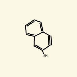 Sc1c#cc2ccccc2c1